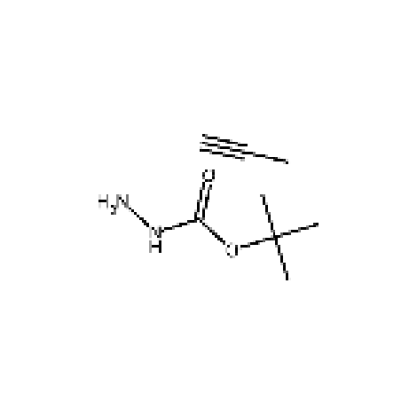 C#CC.CC(C)(C)OC(=O)NN